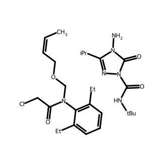 C/C=C\COCN(C(=O)CCl)c1c(CC)cccc1CC.CC(C)c1nn(C(=O)NC(C)(C)C)c(=O)n1N